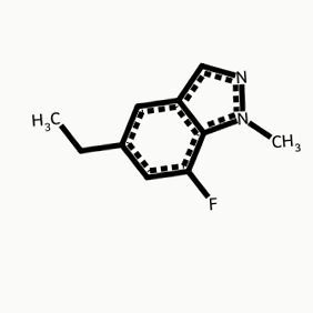 CCc1cc(F)c2c(cnn2C)c1